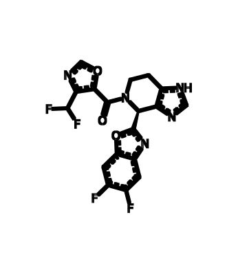 O=C(c1ocnc1C(F)F)N1CCc2[nH]cnc2[C@H]1c1nc2cc(F)c(F)cc2o1